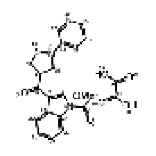 COC(=O)n1cc(C(=O)C2CSN(c3cccnc3)C2)c2ccccc21.O=C(O)C(=O)O